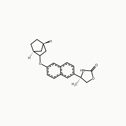 C[C@@]1(c2ccc3cc(OC4C[C@H]5CC[C@H]4C5)ccc3c2)COC(=O)N1